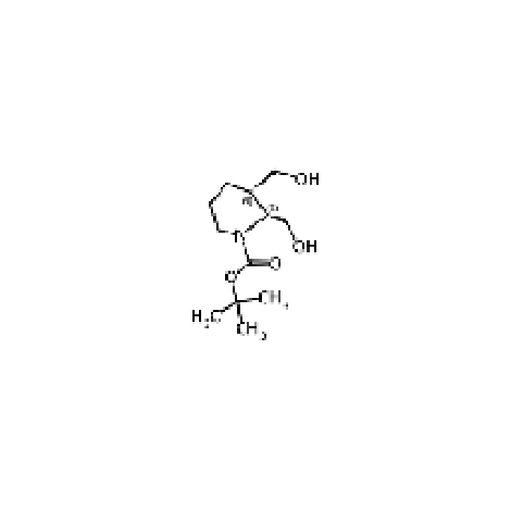 CC(C)(C)OC(=O)N1CCC[C@@H](CO)[C@H]1CO